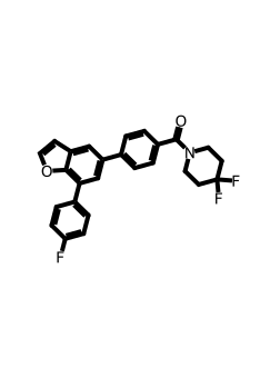 O=C(c1ccc(-c2cc(-c3ccc(F)cc3)c3occc3c2)cc1)N1CCC(F)(F)CC1